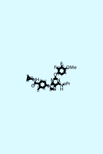 CCCNc1nc(Oc2ccc(OC)c(F)c2F)nc2c1ncn2-c1ccc(C(=O)NC2CC2)c(C)c1